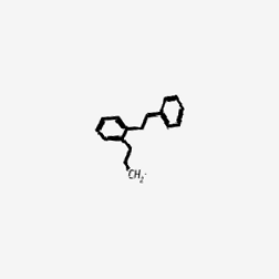 [CH2]CCc1ccccc1CCc1ccccc1